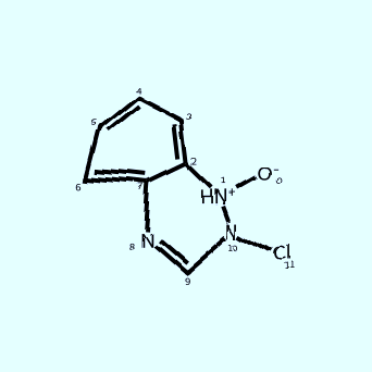 [O-][NH+]1c2ccccc2N=CN1Cl